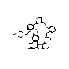 CC#Cc1sc2ncnc(OC(Cc3ccccc3OCc3ccnc(-c4ccccc4OC)n3)C(=O)O)c2c1-c1ccc(OCCN2CCN(C)CC2)c(Cl)c1CC